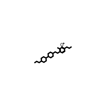 CCCc1ccc(CCC2CCC(C3CCC(CCC)CC3)CC2)c(C)c1OC